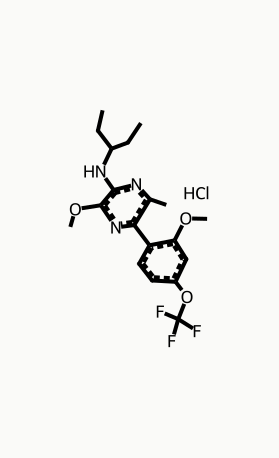 CCC(CC)Nc1nc(C)c(-c2ccc(OC(F)(F)F)cc2OC)nc1OC.Cl